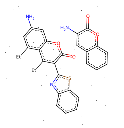 CCc1cc(N)cc2oc(=O)c(-c3nc4ccccc4s3)c(CC)c12.Nc1cc2ccccc2oc1=O